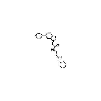 O=C(Cn1ccc2ccc(-c3ccncc3)cc21)NCCNCC1CCCCC1